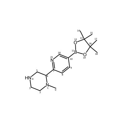 CN1CCNCC1c1ccc(B2OC(C)(C)C(C)(C)O2)cn1